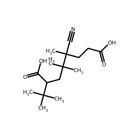 CC(C)(C)C(CC(C)(C)C(C)(C#N)CCC(=O)O)C(=O)O